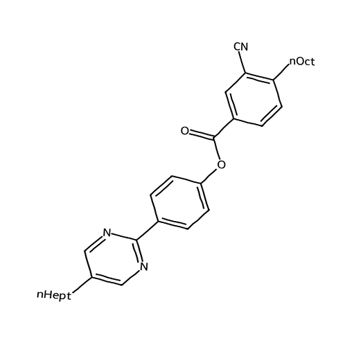 CCCCCCCCc1ccc(C(=O)Oc2ccc(-c3ncc(CCCCCCC)cn3)cc2)cc1C#N